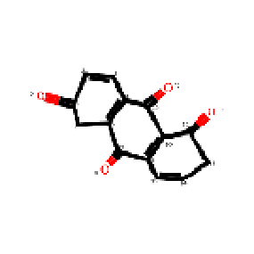 O=C1C=CC2=C(C1)C(=O)C1=C(C(=O)CC=C1)C2=O